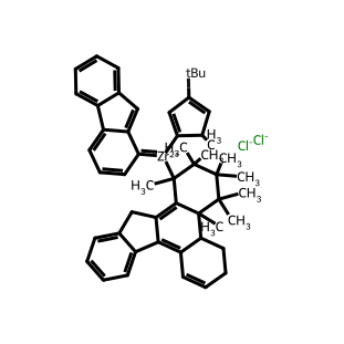 CC1C=C(C(C)(C)C)C=[C]1[Zr+2](=[c]1cccc2c1=Cc1ccccc1-2)[C]1(C)C2=C3Cc4ccccc4C3=C3C=CCCC3C2(C)C(C)(C)C(C)(C)C1(C)C.[Cl-].[Cl-]